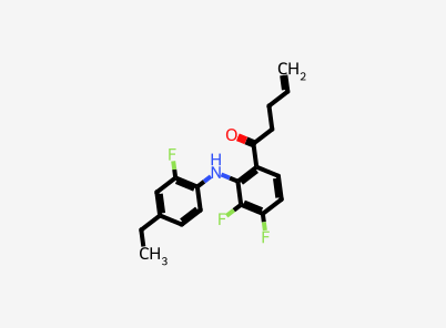 C=CCCC(=O)c1ccc(F)c(F)c1Nc1ccc(CC)cc1F